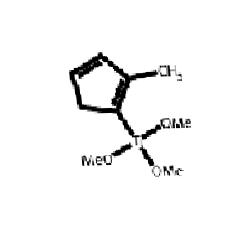 C[O][Ti]([O]C)([O]C)[C]1=C(C)C=CC1